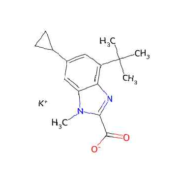 Cn1c(C(=O)[O-])nc2c(C(C)(C)C)cc(C3CC3)cc21.[K+]